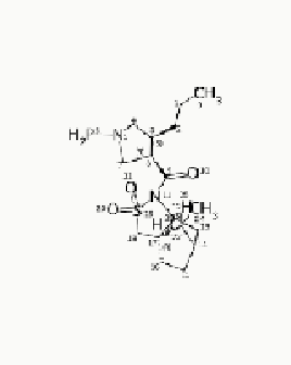 CCC[C@@H]1CN(P)C[C@@H]1C(=O)N1[C@H]2CC3CC[C@@]2(CS1(=O)=O)C3(C)C